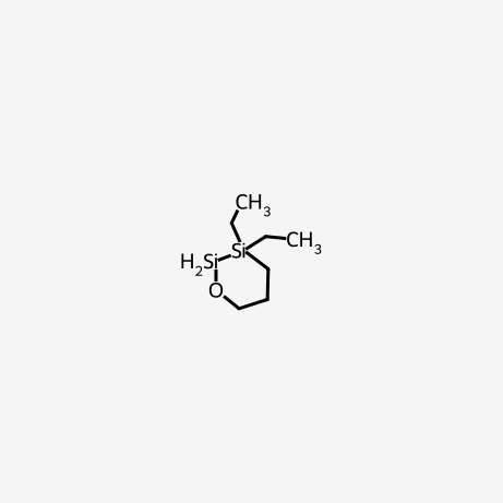 CC[Si]1(CC)CCCO[SiH2]1